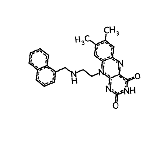 Cc1cc2nc3c(=O)[nH]c(=O)nc-3n(CCNCc3cccc4ccccc34)c2cc1C